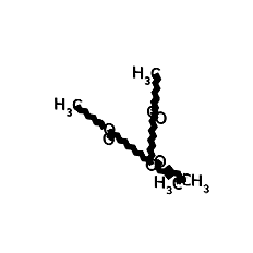 CCCCC/C=C/COC(=O)CCCCCCCCC(CCCCCCCCC(=O)OC/C=C/CCCCC)OC(=O)CC1CC(CN(C)C)C1